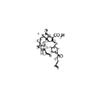 C=CCOC(=O)N1C[C@@H](SC2=C(C(=O)O)N3C(=O)[C@H]([C@@H](C)O)[C@H]3[C@H]2C)C[C@H]1/C=C\CNS(C)(=O)=O